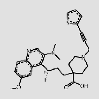 COc1ccc2ncc(N(C)C)c([C@@H](F)CCC3(C(=O)O)CCN(CC#Cc4cccs4)CC3)c2c1